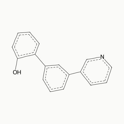 Oc1ccccc1-c1cccc(-c2cccnc2)c1